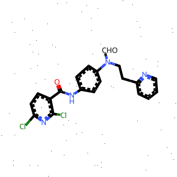 O=CN(CCc1ccccn1)c1ccc(NC(=O)c2ccc(Cl)nc2Cl)cc1